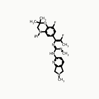 C=N/C(=N\C(=C(/C)F)c1cc(F)c2c(c1)N(C(C)C)CC(C)(C)O2)Nc1ccc2c(n1)CN(C)C2